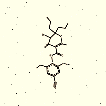 CCCC1(CCC)OC(C)=C(C(=O)Nc2c(CC)cc(C#N)cc2CC)C(=O)C1Br